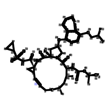 C[C@@H]1CC/C=C\C2C[C@@]2(C(=O)NS(=O)(=O)C2CC2)NC(=O)[C@@H]2C[C@@H](Oc3ncc(OCC(F)F)c4ccccc34)CN2C(=O)[C@@H](NC(=O)O[C@H](C)C(F)(F)F)[C@H](C)C1